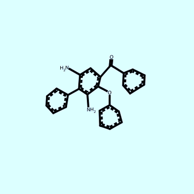 Nc1cc(C(=O)c2ccccc2)c(Oc2ccccc2)c(N)c1-c1ccccc1